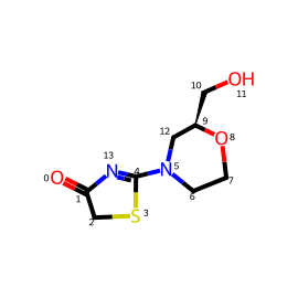 O=C1CSC(N2CCO[C@H](CO)C2)=N1